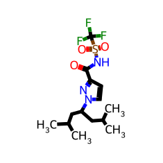 CC(C)CC(CC(C)C)n1ccc(C(=O)NS(=O)(=O)C(F)(F)F)n1